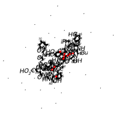 CC[C@H](C)[C@H](NC(=O)[C@H](CO)NC(=O)[C@H](Cc1ccc(O)cc1)NC(=O)[C@H](CC(=O)O)NC(=O)[C@H](CO)NC(=O)[C@@H](NC(=O)[C@H](Cc1ccccc1)NC(=O)[C@@H](NC(=O)CNC(=O)[C@H](CCC(=O)O)NC(=O)CSCC(=O)NCCn1c(C)cc(C)cc1=O)[C@@H](C)O)[C@@H](C)O)C(=O)N[C@@H](Cc1ccc(O)cc1)C(=O)N[C@@H](CC(C)C)C(=O)N[C@@H](CC(=O)O)C(=O)N[C@H](C)CCCCN